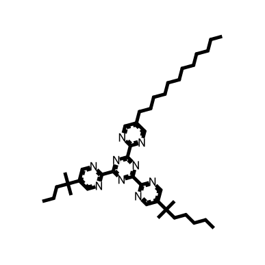 CCCCCCCCCCCCc1cnc(-c2nc(-c3ncc(C(C)(C)CCC)cn3)nc(-c3ncc(C(C)(C)CCCCC)cn3)n2)nc1